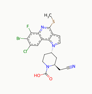 CSc1nc2c(F)c(Br)c(Cl)cc2c2c1ccn2[C@H]1CCN(C(=O)O)[C@H](CC#N)C1